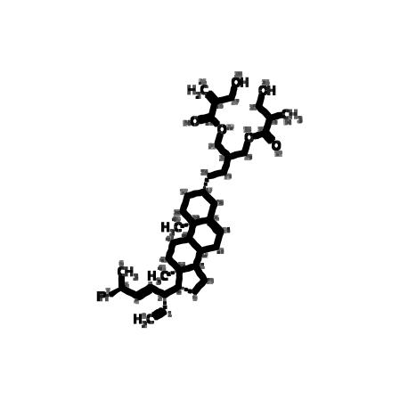 C=C[C@H](/C=C/[C@H](C)C(C)C)[C@H]1CCC2C3CC=C4C[C@@H](CCC(COC(=O)C(=C)CO)COC(=O)C(C)CO)CC[C@]4(C)C3CC[C@@]21C